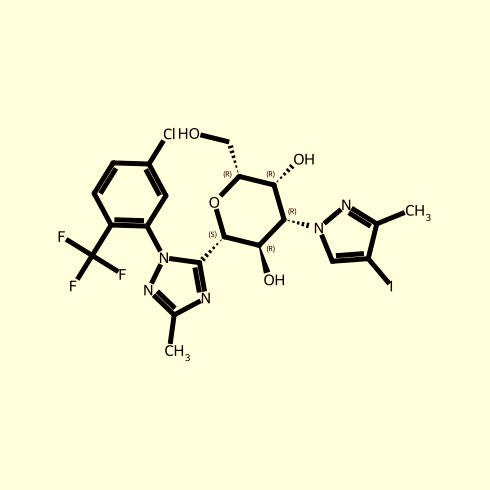 Cc1nc([C@@H]2O[C@H](CO)[C@H](O)[C@H](n3cc(I)c(C)n3)[C@H]2O)n(-c2cc(Cl)ccc2C(F)(F)F)n1